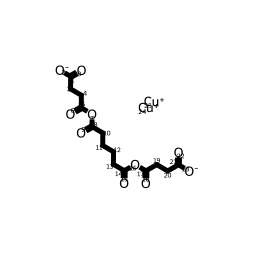 O=C([O-])CCC(=O)OC(=O)CCCCC(=O)OC(=O)CCC(=O)[O-].[Cu+].[Cu+]